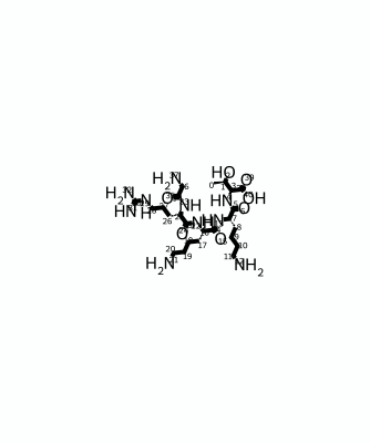 C[C@@H](O)[C@H](NC(=O)[C@H](CCCCN)NC(=O)[C@H](CCCCN)NC(=O)[C@H](CCCNC(=N)N)NC(=O)CN)C(=O)O